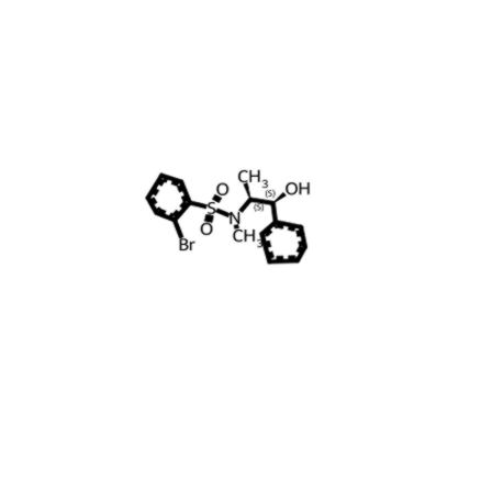 C[C@@H]([C@@H](O)c1ccccc1)N(C)S(=O)(=O)c1ccccc1Br